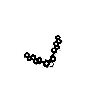 c1ccc2c(c1)ccc1c2ccc2c3ccc(-c4ccc5oc6ccc(-c7ccc8c(ccc9c8ccc8c%10ccccc%10ccc89)c7)cc6c5c4)cc3ccc21